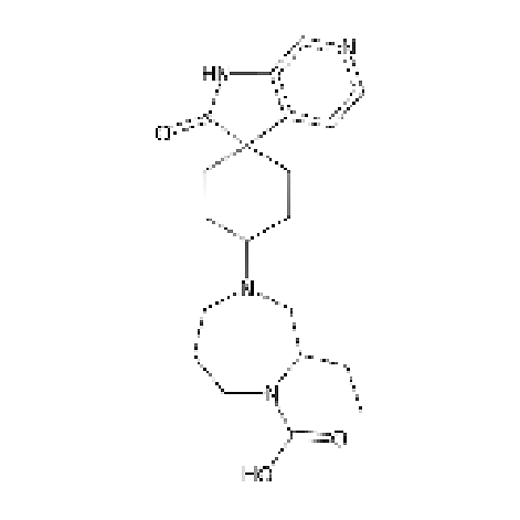 CCC1CN(C2CCC3(CC2)C(=O)Nc2cnccc23)CCCN1C(=O)O